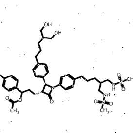 CC(=O)OC(CC[C@H]1C(=O)N(c2ccc(CCCC(CNS(C)(=O)=O)CNS(C)(=O)=O)cc2)[C@@H]1c1ccc(CCCC(CO)CO)cc1)c1ccc(F)cc1